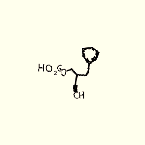 C#CC(COC(=O)O)Cc1ccccc1